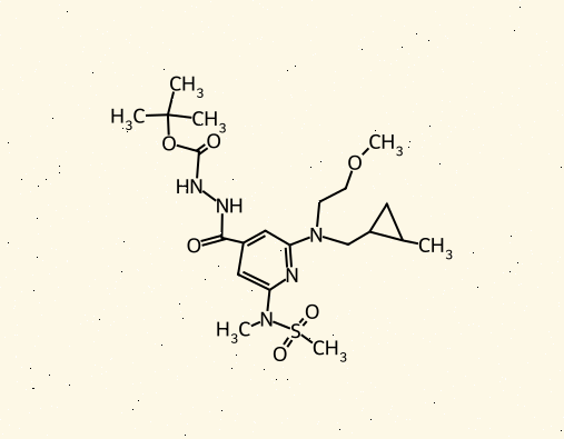 COCCN(CC1CC1C)c1cc(C(=O)NNC(=O)OC(C)(C)C)cc(N(C)S(C)(=O)=O)n1